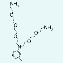 Cc1cccc(N(CCOCCOCCN)CCOCCOCCOCCN)c1